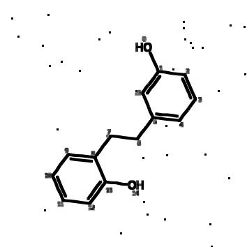 Oc1cccc(C[CH]c2ccccc2O)c1